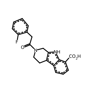 O=C(O)c1cccc2c3c([nH]c12)CN(C(=O)Cc1ccccc1F)CC3